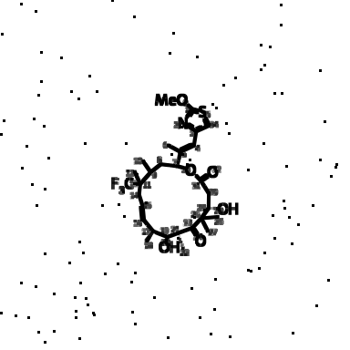 COc1nc(/C=C(\C)[C@@H]2CC(C)C(C)(C(F)(F)F)C/C=C/[C@H](C)[C@H](O)[C@@H](C)C(=O)C(C)(C)[C@@H](O)CC(=O)O2)cs1